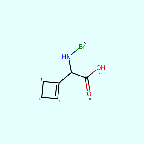 O=C(O)C(NBr)C1=CCC1